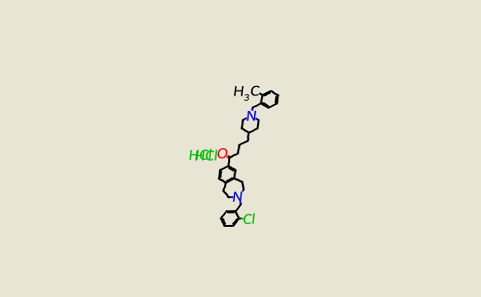 Cc1ccccc1CN1CCC(CCCC(=O)c2ccc3c(c2)CCN(Cc2ccccc2Cl)CC3)CC1.Cl.Cl